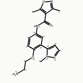 Cc1noc(C)c1C(=O)Nc1ccc(OCCN)c(-c2ccnn2C)c1